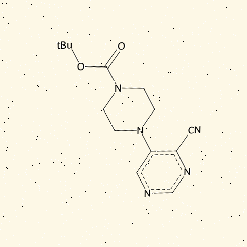 CC(C)(C)OC(=O)N1CCN(c2cncnc2C#N)CC1